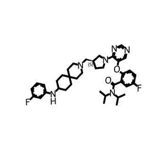 CC(C)N(C(=O)c1cc(F)ccc1Oc1cncnc1N1CC[C@@H](CN2CCC3(CCC(Nc4cccc(F)c4)CC3)CC2)C1)C(C)C